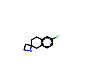 Brc1ccc2c(c1)CCC1(CCN1)C2